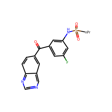 CCCS(=O)(=O)Nc1cc(F)cc(C(=O)c2ccc3ncncc3c2)c1